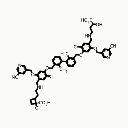 Cc1c(COc2cc(OCc3cncc(C#N)c3)c(CNCCC3CC[C@]3(O)C(=O)O)cc2Cl)cccc1-c1cccc(COc2cc(OCc3cncc(C#N)c3)c(CNCC[C@H](O)C(=O)O)cc2Cl)c1C